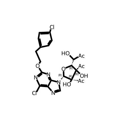 CC(=O)C(O)[C@H]1O[C@@H](n2cnc3c(Cl)nc(OCCc4ccc(Cl)cc4)nc32)[C@@](O)(C(C)=O)[C@@]1(O)C(C)=O